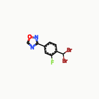 Fc1cc(-c2ncon2)ccc1C(Br)Br